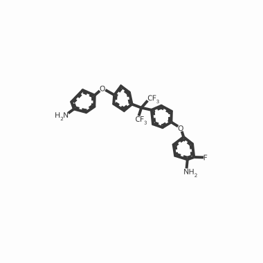 Nc1ccc(Oc2ccc(C(c3ccc(Oc4ccc(N)c(F)c4)cc3)(C(F)(F)F)C(F)(F)F)cc2)cc1